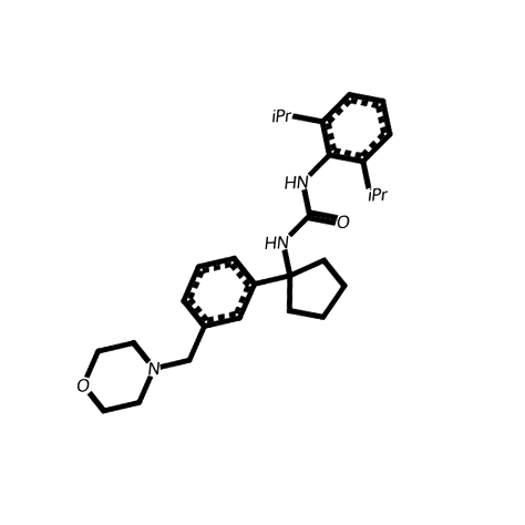 CC(C)c1cccc(C(C)C)c1NC(=O)NC1(c2cccc(CN3CCOCC3)c2)CCCC1